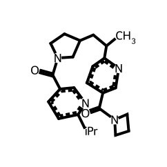 CC(C)c1ccc(C(=O)N2CCC(CC(C)c3ccc(C(=O)N4CCC4)cn3)C2)cn1